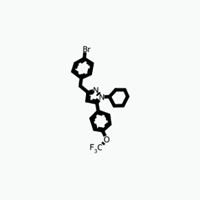 FC(F)(F)Oc1ccc(-c2cc(Cc3ccc(Br)cc3)nn2C2CCCCC2)cc1